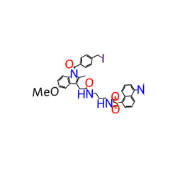 COc1ccc2c(c1)c(CC(=O)NCCCNS(=O)(=O)c1cccc3c(N(C)C)cccc13)c(C)n2C(=O)c1ccc(CI)cc1